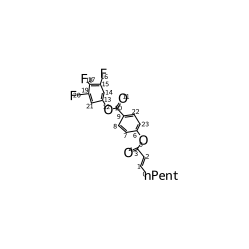 CCCCCC=CC(=O)Oc1ccc(C(=O)Oc2cc(F)c(F)c(F)c2)cc1